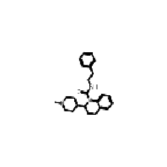 CN1CCC(C2CCc3ccccc3N2C(=O)NCCc2ccccc2)CC1